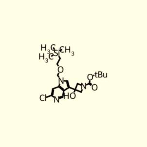 CC(C)(C)OC(=O)N1CC(O)(c2cn(COCC[Si](C)(C)C)c3cc(Cl)ncc23)C1